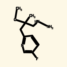 COC(C)(CNN)Cc1ccc(F)cn1